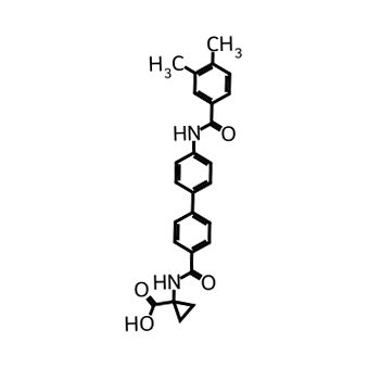 Cc1ccc(C(=O)Nc2ccc(-c3ccc(C(=O)NC4(C(=O)O)CC4)cc3)cc2)cc1C